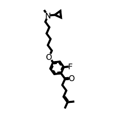 CC(C)=CCCC(=O)c1ccc(OCCCCCCN(C)C2CC2)cc1F